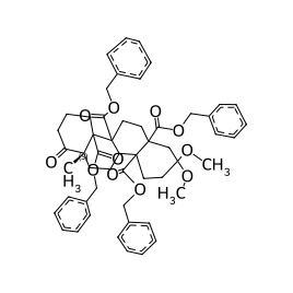 COC1(OC)CCC2(C(=O)OCc3ccccc3)C3CC[C@]4(C)C(=O)CCCC4(C(=O)OCc4ccccc4)C3(C(=O)OCc3ccccc3)CCC2(C(=O)OCc2ccccc2)C1